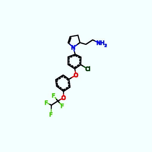 NCCC1CC=CN1c1ccc(Oc2cccc(OC(F)(F)C(F)F)c2)c(Cl)c1